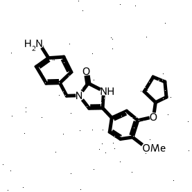 COc1ccc(-c2cn(Cc3ccc(N)cc3)c(=O)[nH]2)cc1OC1CCCC1